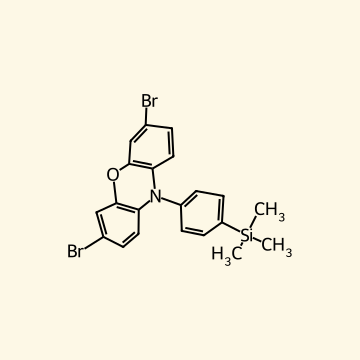 C[Si](C)(C)c1ccc(N2c3ccc(Br)cc3Oc3cc(Br)ccc32)cc1